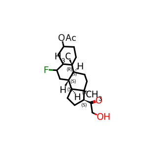 CC(=O)OC1CC[C@@]2(C)C(C1)C(F)C[C@H]1[C@@H]3CC[C@H](C(=O)CO)[C@@]3(C)CC[C@@H]12